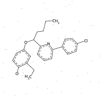 CCCCC(Oc1ccc([O])c(CC)c1)c1cccc(-c2ccc(Cl)cc2)n1